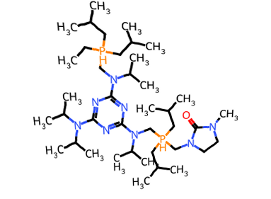 CC[PH](CC(C)C)(CC(C)C)CN(c1nc(N(C[PH](CC(C)C)(CC(C)C)CN2CCN(C)C2=O)C(C)C)nc(N(C(C)C)C(C)C)n1)C(C)C